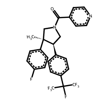 C[C@]1(c2ccc(F)cc2)CN(C(=O)c2ccncc2)C[C@H]1c1ccc(C(F)(C(F)(F)F)C(F)(F)F)cc1